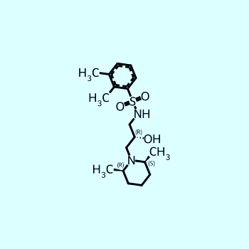 Cc1cccc(S(=O)(=O)NC[C@H](O)CN2[C@H](C)CCC[C@@H]2C)c1C